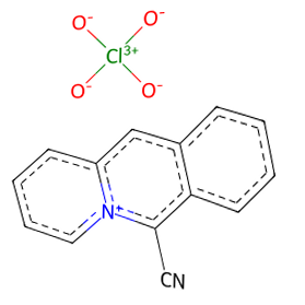 N#Cc1c2ccccc2cc2cccc[n+]12.[O-][Cl+3]([O-])([O-])[O-]